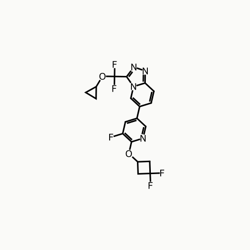 Fc1cc(-c2ccc3nnc(C(F)(F)OC4CC4)n3c2)cnc1OC1CC(F)(F)C1